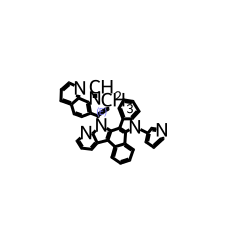 C=Nc1c(/C(=C\C)n2c3ncccc3c3c4ccccc4c4c(c5ccccc5n4-c4cccnc4)c32)ccc2cccnc12